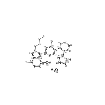 CCCCc1nc2c(C)ccc(O)c2n1-c1ccc(-c2ccccc2-c2nnn[nH]2)c(C)c1.O